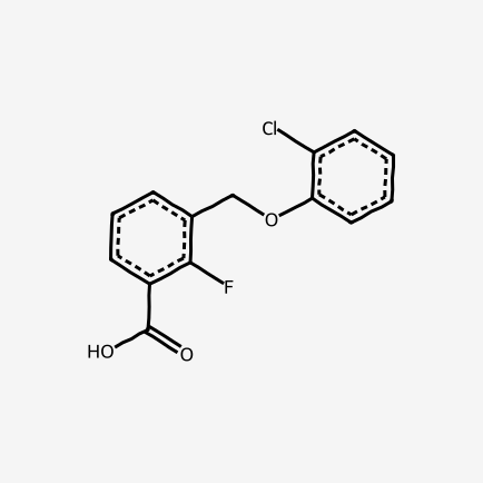 O=C(O)c1cccc(COc2ccccc2Cl)c1F